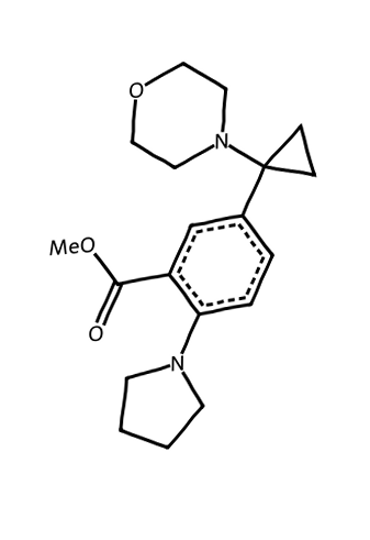 COC(=O)c1cc(C2(N3CCOCC3)CC2)ccc1N1CCCC1